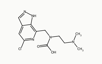 CN(C)CCN(Cc1nc(Cl)cc2cn[nH]c12)C(=O)O